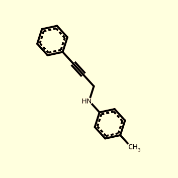 Cc1ccc(NCC#Cc2ccccc2)cc1